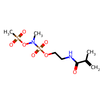 C=C(C)C(=O)NCCOS(=O)(=O)N(C)OS(C)(=O)=O